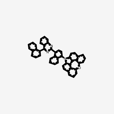 c1ccc2c(-c3nc(-c4ccc(-n5c6ccc7cccc8oc9cccc%10ccc5c(c%109)c6c78)c5ccccc45)nc4ccccc34)cccc2c1